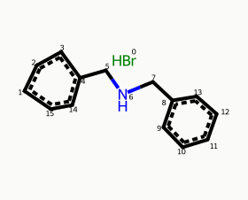 Br.c1ccc(CNCc2ccccc2)cc1